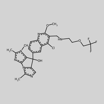 COc1nc2ccc(C3(O)c4c(nc(C)n4C)-n4c3cnc4C)cc2c(Cl)c1CNCCOCC(F)(F)F